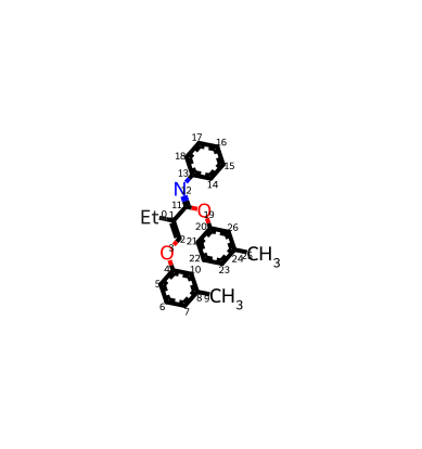 CCC(=C\Oc1cccc(C)c1)/C(=N/c1ccccc1)Oc1cccc(C)c1